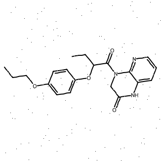 CCCOc1ccc(OC(CC)C(=O)N2CC(=O)Nc3cccnc32)cc1